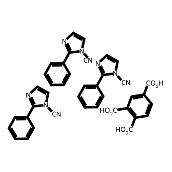 N#Cn1ccnc1-c1ccccc1.N#Cn1ccnc1-c1ccccc1.N#Cn1ccnc1-c1ccccc1.O=C(O)c1ccc(C(=O)O)c(C(=O)O)c1